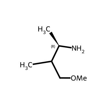 COCC(C)[C@@H](C)N